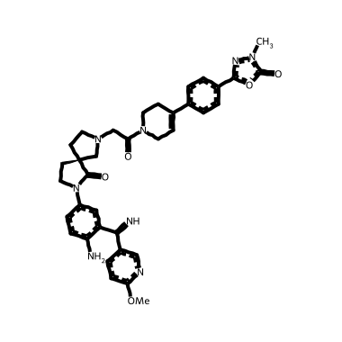 COc1ccc(C(=N)c2cc(N3CC[C@]4(CCN(CC(=O)N5CC=C(c6ccc(-c7nn(C)c(=O)o7)cc6)CC5)C4)C3=O)ccc2N)cn1